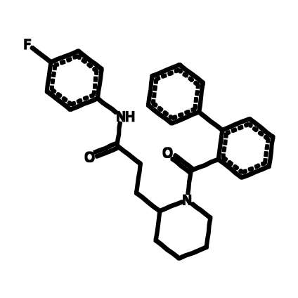 O=C(CCC1CCCCN1C(=O)c1ccccc1-c1ccccc1)Nc1ccc(F)cc1